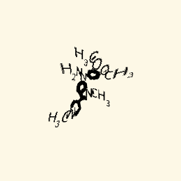 COc1ccc(N(N)c2ccc3c(C4CCN(C)CC4)cn(C)c3c2)cc1OC